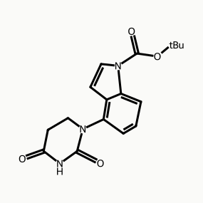 CC(C)(C)OC(=O)n1ccc2c(N3CCC(=O)NC3=O)cccc21